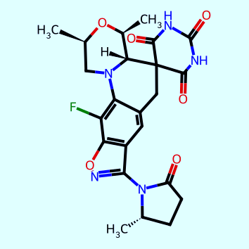 C[C@@H]1CN2c3c(cc4c(N5C(=O)CC[C@@H]5C)noc4c3F)CC3(C(=O)NC(=O)NC3=O)[C@H]2[C@H](C)O1